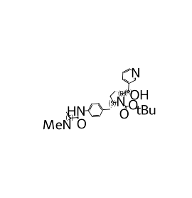 CN[C@@H](C)C(=O)Nc1ccc(C[C@@H]2CC[C@H]([C@H](O)c3cccnc3)N2C(=O)OC(C)(C)C)cc1